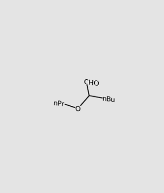 CCCCC(C=O)OCCC